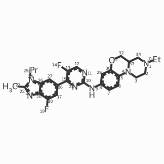 CCN1CCN2c3ccc(Nc4ncc(F)c(-c5cc(F)c6nc(C)n(C(C)C)c6c5)n4)cc3OCC2C1